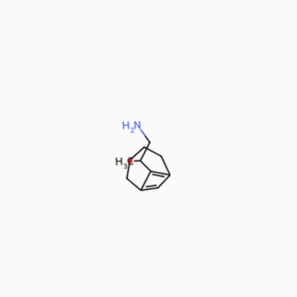 CC(CN)C1=C2C=C1CCCC2